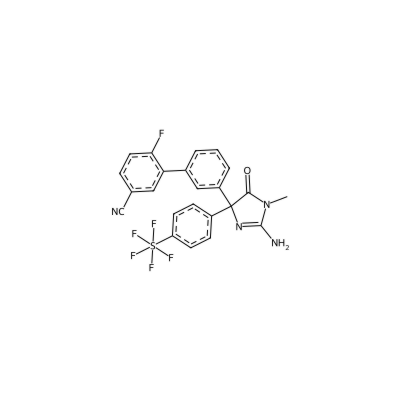 CN1C(=O)C(c2ccc(S(F)(F)(F)(F)F)cc2)(c2cccc(-c3cc(C#N)ccc3F)c2)N=C1N